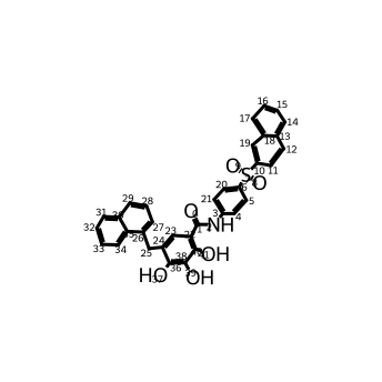 O=C(Nc1ccc(S(=O)(=O)c2ccc3ccccc3c2)cc1)c1cc(Cc2cccc3ccccc23)c(O)c(O)c1O